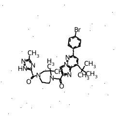 Cc1n[nH]c(C(=O)N2CCN(C(=O)c3cn4nc(-c5ccc(Br)cc5)cc(C(C)(C)C)c4n3)C(C)(C)C2)n1